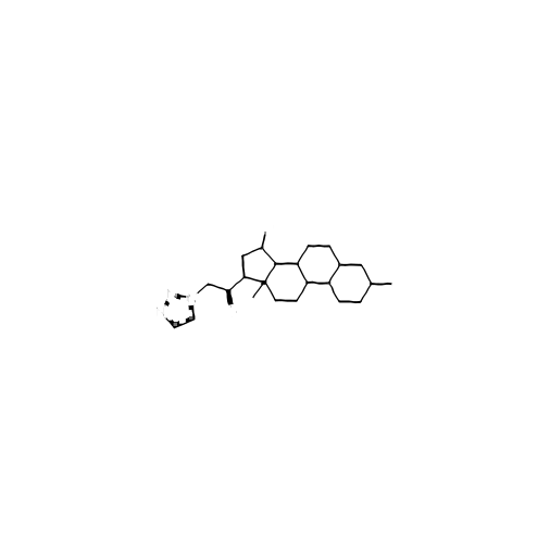 CCC1CC(C(=O)Cn2ccnn2)C2(C)CCC3C4CCC(C)CC4CCC3C12